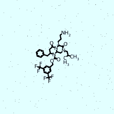 CC(C)CN1CC2N(C(=O)OCc3cc(C(F)(F)F)cc(C(F)(F)F)c3)C(Cc3ccccc3)CC(=O)N2[C@@H](CCCN)C1=O